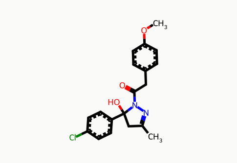 COc1ccc(CC(=O)N2N=C(C)CC2(O)c2ccc(Cl)cc2)cc1